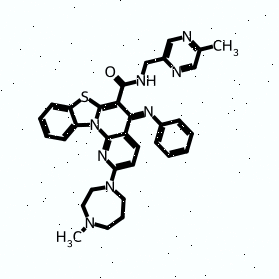 Cc1cnc(CNC(=O)c2/c(=N/c3ccccc3)c3ccc(N4CCCN(C)CC4)nc3n3c2sc2ccccc23)cn1